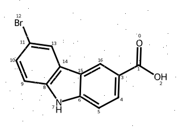 O=C(O)c1ccc2[nH]c3ccc(Br)cc3c2c1